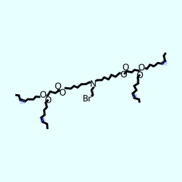 CC/C=C\CCCCOC(CCC(=O)OCCCCCCCN(CCCBr)CCCCCCCOC(=O)CCC(OCCCC/C=C\CC)OCCCC/C=C\CC)OCCCC/C=C\CC